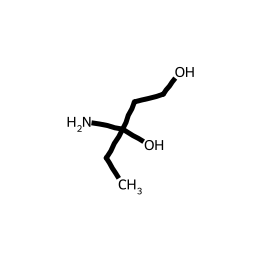 CCC(N)(O)CCO